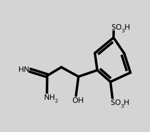 N=C(N)CC(O)c1cc(S(=O)(=O)O)ccc1S(=O)(=O)O